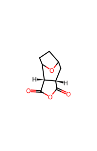 O=C1OC(=O)[C@@H]2C3CCC(C[C@H]12)O3